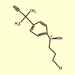 CC(C)(C#N)c1ccc([C@@H](O)CCCCl)cc1